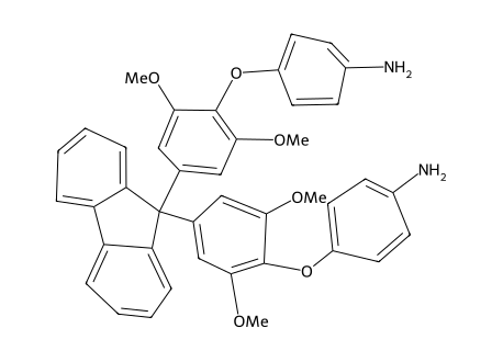 COc1cc(C2(c3cc(OC)c(Oc4ccc(N)cc4)c(OC)c3)c3ccccc3-c3ccccc32)cc(OC)c1Oc1ccc(N)cc1